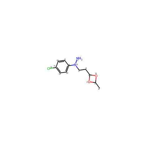 CC1OC(CCN(N)c2ccc(Cl)cc2)O1